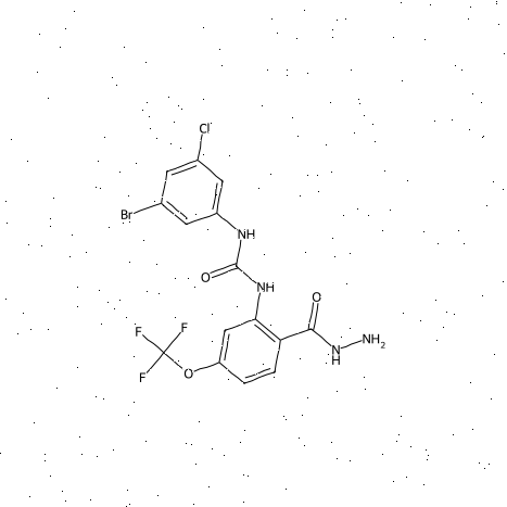 NNC(=O)c1ccc(OC(F)(F)F)cc1NC(=O)Nc1cc(Cl)cc(Br)c1